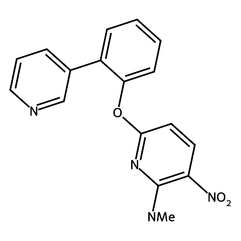 CNc1nc(Oc2ccccc2-c2cccnc2)ccc1[N+](=O)[O-]